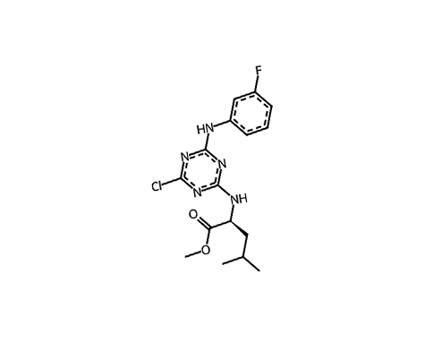 COC(=O)[C@H](CC(C)C)Nc1nc(Cl)nc(Nc2cccc(F)c2)n1